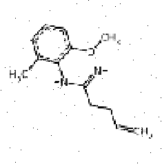 C=CCCC(=N)Nc1c(C)cccc1OC